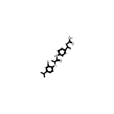 CC(Oc1ccc(C(C)C)cc1Br)C(=O)Nc1ccc(C(C)CC(=O)O)cc1